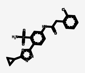 NS(=O)(=O)c1cc(NC(=O)Cc2ccccc2Cl)ccc1-c1nnc(C2CC2)o1